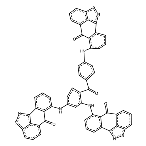 O=C(c1ccc(Nc2cccc3c2C(=O)c2cccc4snc-3c24)cc1)c1ccc(Nc2cccc3c2C(=O)c2cccc4snc-3c24)cc1Nc1cccc2c1C(=O)c1cccc3snc-2c13